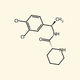 C[C@@H](NC(=O)[C@H]1CCCCN1)c1ccc(Cl)c(Cl)c1